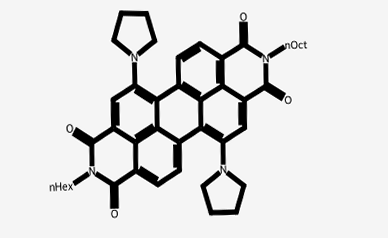 CCCCCCCCN1C(=O)c2ccc3c4c(N5CCCC5)cc5c6c(ccc(c7c(N8CCCC8)cc(c2c37)C1=O)c64)C(=O)N(CCCCCC)C5=O